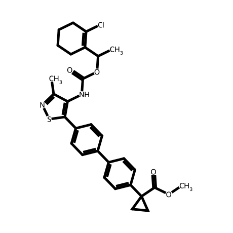 COC(=O)C1(c2ccc(-c3ccc(-c4snc(C)c4NC(=O)OC(C)C4=C(Cl)CCCC4)cc3)cc2)CC1